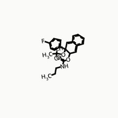 CCCNC(=O)OC1C=c2ccccc2=CC1(OC(C)(C)C)c1ccc(F)cc1